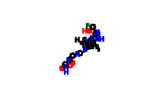 CC[C@@]12CNc3nnc(-c4cccc(F)c4O)cc3N1C[C@H](N(C)C1CCN(CC3CCN(c4ccc5c(c4)C(=O)N([C@H]4CCC(=O)NC4=O)C5)CC3)CC1(C)C)C2